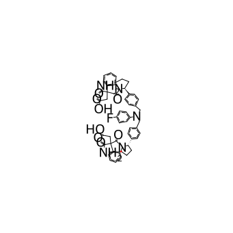 NC(=O)C(CC(=O)O)(C(=O)N1CCC[C@H]1c1ccc(CN(Cc2ccc([C@@H]3CCCN3C(=O)C(CC(=O)O)(C(N)=O)c3ccccc3)cc2)c2ccc(F)cc2)cc1)c1ccccc1